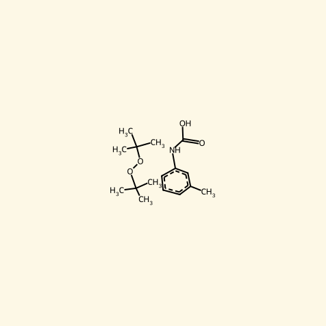 CC(C)(C)OOC(C)(C)C.Cc1cccc(NC(=O)O)c1